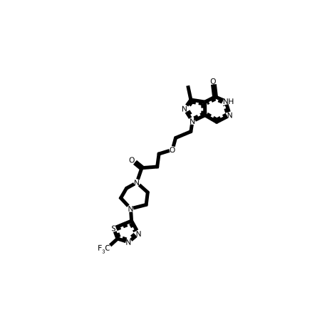 Cc1nn(CCOCCC(=O)N2CCN(c3nnc(C(F)(F)F)s3)CC2)c2cn[nH]c(=O)c12